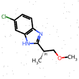 COC[C@H](C)c1nc2ccc(Cl)cc2[nH]1